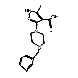 Cc1[nH]nc(N2CCN(Cc3ccccc3)CC2)c1C(=O)O